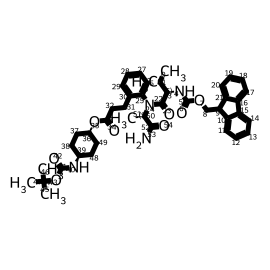 CC(C)[C@H](NC(=O)OCC1c2ccccc2-c2ccccc21)C(=O)N(c1ccccc1CCC(=O)O[C@H]1CC[C@H](NC(=O)OC(C)(C)C)CC1)[C@@H](C)C(N)=O